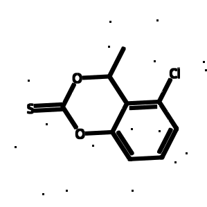 CC1OC(=S)Oc2cccc(Cl)c21